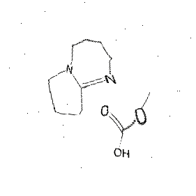 C1CN=C2CCCN2C1.COC(=O)O